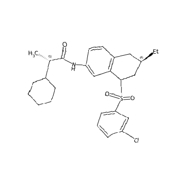 CC[C@@H]1Cc2ccc(NC(=O)[C@@H](C)C3CCCCC3)cc2C(S(=O)(=O)c2cccc(Cl)c2)C1